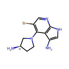 Nc1c[nH]c2ncc(Br)c(N3CC[C@@H](N)C3)c12